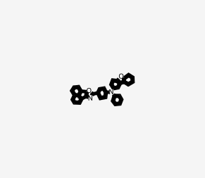 c1ccc(N(c2ccc(-c3nc4c(o3)-c3cccc5cccc-4c35)cc2)c2ccc3oc4ccccc4c3c2)cc1